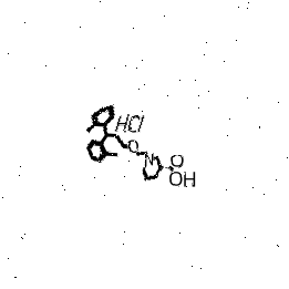 Cc1ccccc1C(CCOCCN1CCC[C@@H](C(=O)O)C1)c1ccccc1C.Cl